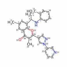 Cc1cc(C(C)Nc2ccccc2C(=O)O)c2oc(-c3cnn(-c4cccnc4)c3)c(C)c(=O)c2c1